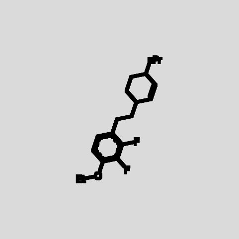 CCCC1C=CC(CCc2ccc(OCC)c(F)c2F)CC1